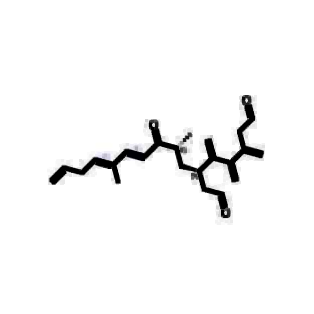 C=CC/C=C(C)/C=C/C(=O)[C@H](C)C[C@H](CC=O)C(=C)C(=C)C(=C)CC=O